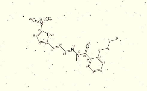 CCCCc1ccccc1C(=O)N/N=C/C=C/c1ccc([N+](=O)[O-])o1